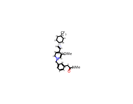 CNC(=O)Cc1cccc(CN2C=C(OC)C(/C=C/[C@H]3CC[C@H](C(F)(F)F)CC3)=CC2)c1